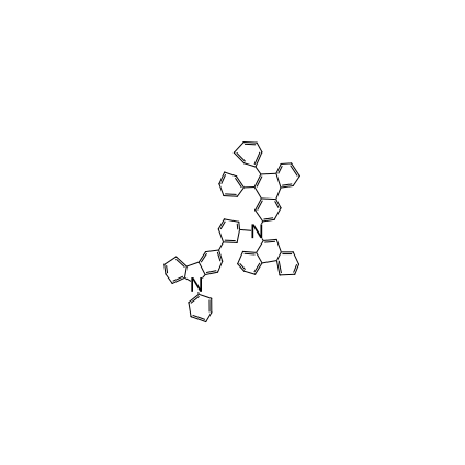 c1ccc(-c2c(-c3ccccc3)c3cc(N(c4cccc(-c5ccc6c(c5)c5ccccc5n6-c5ccccc5)c4)c4cc5ccccc5c5ccccc45)ccc3c3ccccc23)cc1